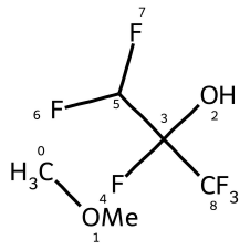 COC.OC(F)(C(F)F)C(F)(F)F